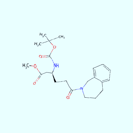 COC(=O)[C@H](CCC(=O)N1CCCc2ccccc2C1)NC(=O)OC(C)(C)C